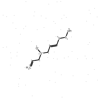 C=CC[S+]([O-])CC=CSSCCC